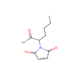 CCCCC(C(=O)Cl)N1C(=O)C=CC1=O